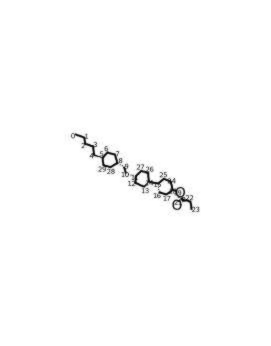 CCCCC[C@H]1CC[C@H](CC[C@H]2CC[C@H]([C@H]3CC[C@H](OC(=O)CC)CC3)CC2)CC1